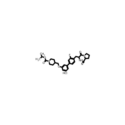 CC(C)OC(=O)N1CCC(COc2cccc(-c3ccc(CC(N)C(=O)N4CCCC4C#N)c(F)c3)c2)CC1.Cl